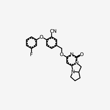 N#Cc1cc(COc2cc3n(c(=O)n2)CC2CCCN32)ccc1Oc1cccc(F)c1